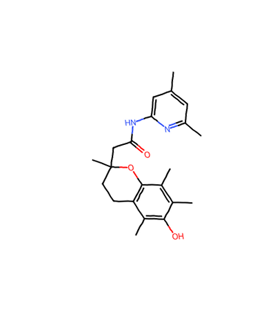 Cc1cc(C)nc(NC(=O)CC2(C)CCc3c(C)c(O)c(C)c(C)c3O2)c1